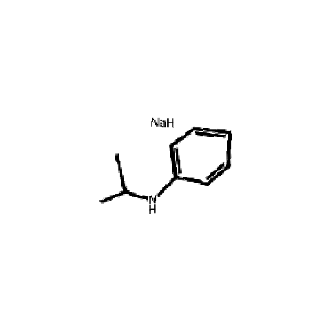 CC(C)Nc1ccccc1.[NaH]